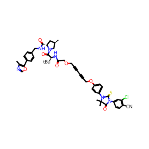 Cc1ncoc1-c1ccc(CNC(=O)[C@@H]2C[C@@H](C)CN2C(=O)[C@@H](NC(=O)COCC#CC#CCOc2ccc(N3C(=S)N(c4ccc(C#N)c(Cl)c4)C(=O)C3(C)C)cc2)C(C)(C)C)cc1